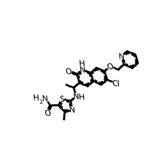 Cc1nc(NC(C)c2cc3cc(Cl)c(OCc4ccccn4)cc3[nH]c2=O)sc1C(N)=O